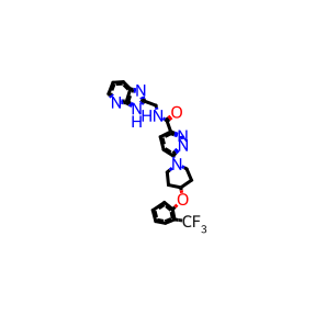 O=C(NCc1nc2cccnc2[nH]1)c1ccc(N2CCC(Oc3ccccc3C(F)(F)F)CC2)nn1